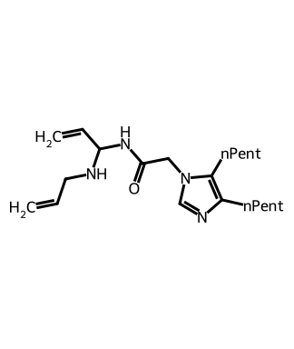 C=CCNC(C=C)NC(=O)Cn1cnc(CCCCC)c1CCCCC